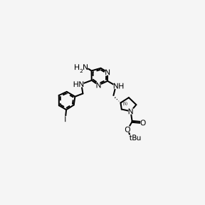 CC(C)(C)OC(=O)N1CC[C@@H](CNc2ncc(N)c(NCc3cccc(I)c3)n2)C1